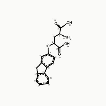 N[C@@H](CC(Oc1ccc2c(c1)Cc1ccccc1-2)C(=O)O)C(=O)O